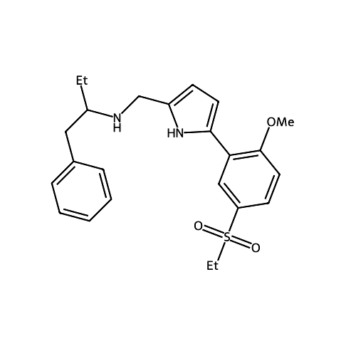 CCC(Cc1ccccc1)NCc1ccc(-c2cc(S(=O)(=O)CC)ccc2OC)[nH]1